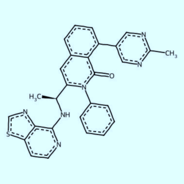 Cc1ncc(-c2cccc3cc([C@H](C)Nc4nccc5scnc45)n(-c4ccccc4)c(=O)c23)cn1